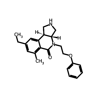 CCc1cc(C)c2c(c1)[C@H]1CNC[C@@H]1N(CCOc1ccccc1)C2=O